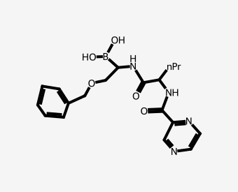 CCCC(NC(=O)c1cnccn1)C(=O)NC(COCc1ccccc1)B(O)O